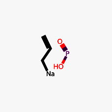 C=C[CH2][Na].O=PO